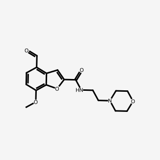 COc1ccc(C=O)c2cc(C(=O)NCCN3CCOCC3)oc12